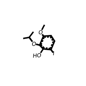 COc1ccc(I)c(O)c1OC(C)C